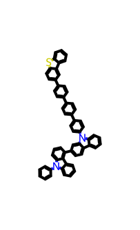 c1ccc(-n2c3ccccc3c3c(-c4ccc5c6ccccc6n(-c6ccc(-c7ccc(-c8ccc(-c9ccc%10sc%11ccccc%11c%10c9)cc8)cc7)cc6)c5c4)cccc32)cc1